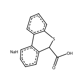 O=C(O)C1Sc2ccccc2-c2ccccc21.[NaH]